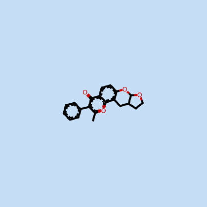 Cc1oc2c3c(ccc2c(=O)c1-c1ccccc1)OC1OCCC1C3